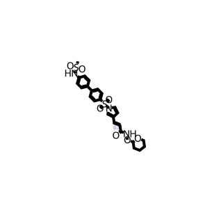 CS(=O)(=O)Nc1ccc(-c2ccc(S(=O)(=O)n3ccc(/C=C/C(=O)NOC4CCCCO4)c3)cc2)cc1